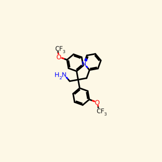 NCC(Cc1ccccn1)(c1cccc(OC(F)(F)F)c1)c1cccc(OC(F)(F)F)c1